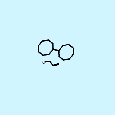 C1CCCC(C2CCCCCCC2)CCC1.C=CC[O]